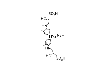 Cc1cc(-c2ccc(NCC(O)CS(=O)(=O)O)c(C)c2)ccc1NCC(O)CS(=O)(=O)O.[NaH].[NaH]